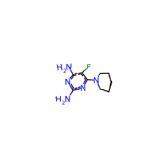 Nc1nc(N)c(F)c(N2CCCCC2)n1